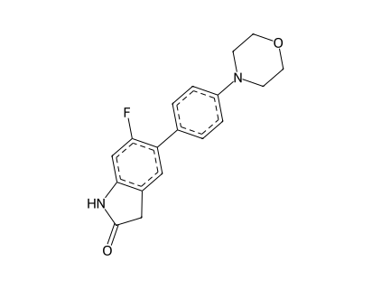 O=C1Cc2cc(-c3ccc(N4CCOCC4)cc3)c(F)cc2N1